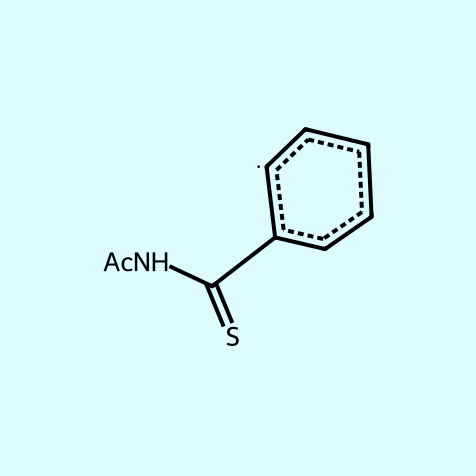 CC(=O)NC(=S)c1[c]cccc1